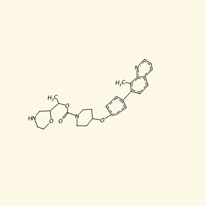 Cc1c(-c2ccc(OC3CCN(C(=O)OC(C)C4CNCCO4)CC3)cc2)ccc2cccnc12